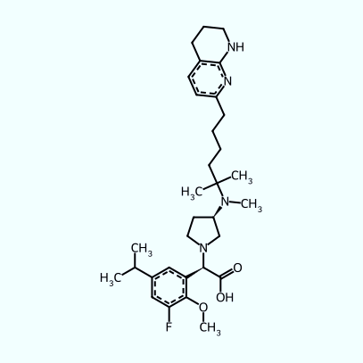 COc1c(F)cc(C(C)C)cc1[C@H](C(=O)O)N1CC[C@@H](N(C)C(C)(C)CCCCc2ccc3c(n2)NCCC3)C1